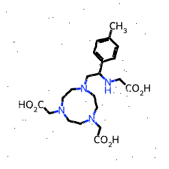 Cc1ccc(C(CN2CCN(CC(=O)O)CCN(CC(=O)O)CC2)NCC(=O)O)cc1